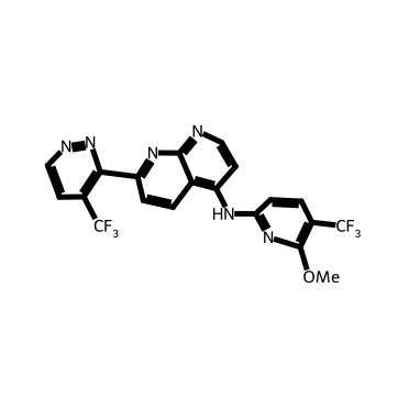 COc1nc(Nc2ccnc3nc(-c4nnccc4C(F)(F)F)ccc23)ccc1C(F)(F)F